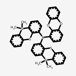 C[Si]1(C)c2ccccc2Sc2c(N(c3cccc4c3Oc3ccccc3O4)c3cccc4c3Sc3ccccc3[Si]4(C)C)cccc21